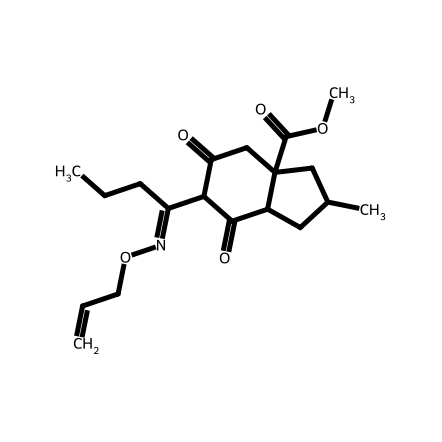 C=CCON=C(CCC)C1C(=O)CC2(C(=O)OC)CC(C)CC2C1=O